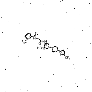 O=C(CNC(=O)c1cccc(C(F)(F)F)c1)N[C@H]1CN(C2CCC(n3ccc(C(F)(F)F)n3)CC2)C[C@@H]1O